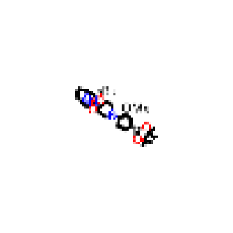 COc1cc(B2OC(C)(C)C(C)(C)O2)ccc1N1CCC(N2CC3CCC(C2)N3C(=O)OC(C)(C)C)CC1